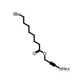 CCCCCCC#CCOC(=O)CCCCCCCC(C)(C)C